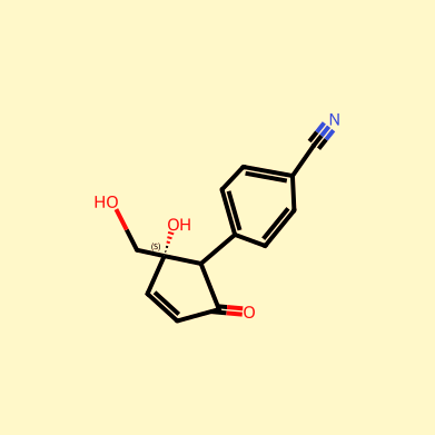 N#Cc1ccc(C2C(=O)C=C[C@@]2(O)CO)cc1